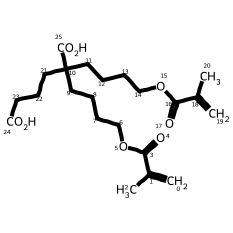 C=C(C)C(=O)OCCCCC(CCCCOC(=O)C(=C)C)(CCCC(=O)O)C(=O)O